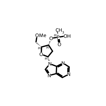 COC[C@H]1O[C@@H](n2cnc3cncnc32)C[C@H]1O[P@](C)(=O)O